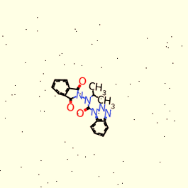 CC(C)N(C(=O)n1nnc2ccccc21)N1C(=O)c2ccccc2C1=O